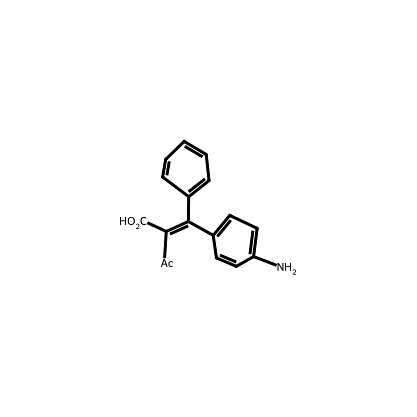 CC(=O)C(C(=O)O)=C(c1ccccc1)c1ccc(N)cc1